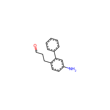 Nc1ccc(CCC=O)c(-c2ccccc2)c1